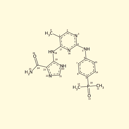 Cc1cnc(Nc2ccc(P(C)(C)=O)cc2)nc1Nc1[nH]cnc1C(N)=O